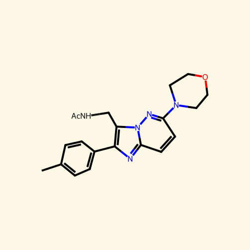 CC(=O)NCc1c(-c2ccc(C)cc2)nc2ccc(N3CCOCC3)nn12